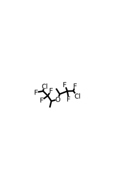 CC(OC(C)C(F)(F)C(F)Cl)C(F)(F)C(F)Cl